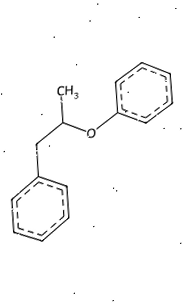 CC(Cc1ccccc1)Oc1ccccc1